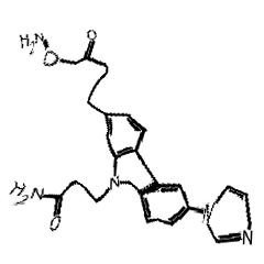 NOC(=O)CCc1ccc2c3cc(-n4ccnc4)ccc3n(CCC(N)=O)c2c1